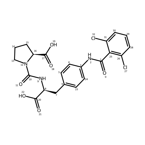 O=C(Nc1ccc(C[C@H](NC(=O)N2CCC[C@H]2C(=O)O)C(=O)O)cc1)c1c(Cl)cccc1Cl